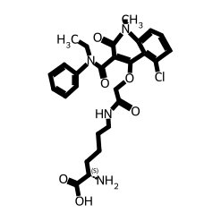 CCN(C(=O)c1c(OCC(=O)NCCCC[C@H](N)C(=O)O)c2c(Cl)cccc2n(C)c1=O)c1ccccc1